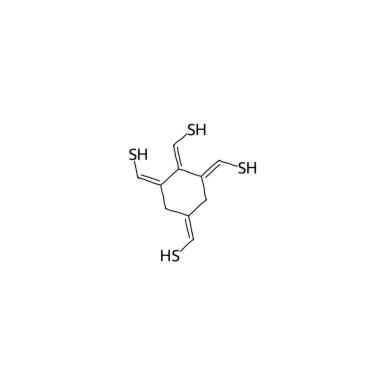 S/C=C1\CC(=C/S)/C(=C/S)C(=C/S)/C1